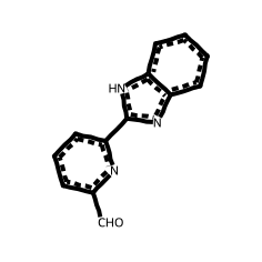 O=Cc1cccc(-c2nc3ccccc3[nH]2)n1